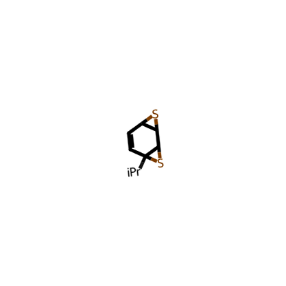 CC(C)C12C=CC3SC3C1S2